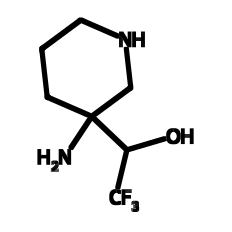 NC1(C(O)C(F)(F)F)CCCNC1